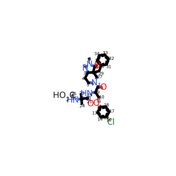 CN1N=C2CCN(C(=O)C(COc3ccc(Cl)cc3)NC(=O)C(C)(C)NC(=O)O)CC2(Cc2ccccc2)C1=O